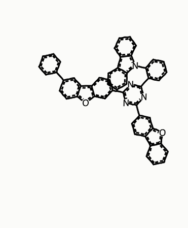 c1ccc(-c2ccc3oc4cc(-c5nc(-c6ccc7c(c6)oc6ccccc67)nc(-c6ccccc6-n6c7ccccc7c7ccccc76)n5)ccc4c3c2)cc1